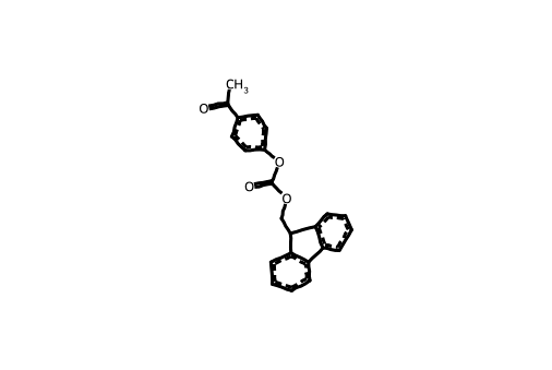 CC(=O)c1ccc(OC(=O)OCC2c3ccccc3-c3ccccc32)cc1